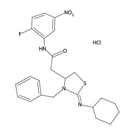 Cl.O=C(CC1CSC(=NC2CCCCC2)N1Cc1ccccc1)Nc1cc([N+](=O)[O-])ccc1F